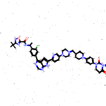 CC(NC(=O)c1nc(C(C)(C)C)no1)c1ccc(-c2ncnc3[nH]c(-c4ccc(N5CCN(CC6CCN(c7ccc(N8CCC(=O)NC8=O)cc7)CC6)CC5)cn4)cc23)cc1F